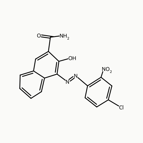 NC(=O)c1cc2ccccc2c(N=Nc2ccc(Cl)cc2[N+](=O)[O-])c1O